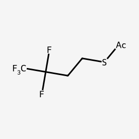 CC(=O)SCCC(F)(F)C(F)(F)F